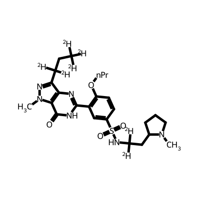 [2H]C([2H])([2H])CC([2H])([2H])c1nn(C)c2c(=O)[nH]c(-c3cc(S(=O)(=O)NC([2H])([2H])CC4CCCN4C)ccc3OCCC)nc12